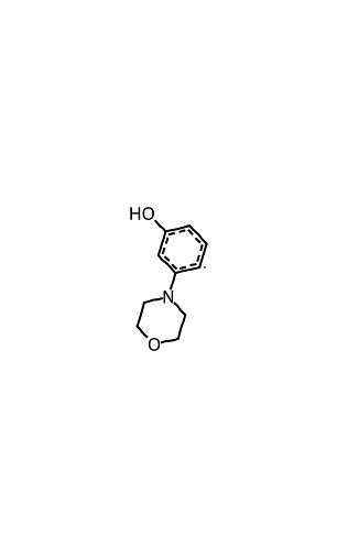 Oc1cc[c]c(N2CCOCC2)c1